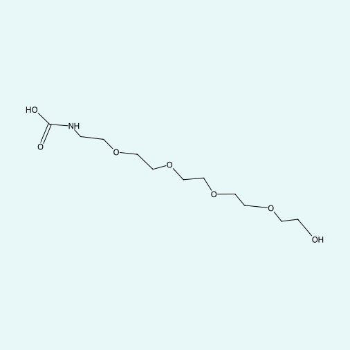 O=C(O)NCCOCCOCCOCCOCCO